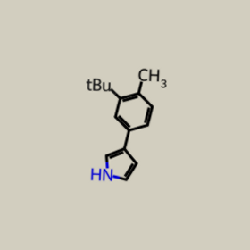 Cc1ccc(-c2cc[nH]c2)cc1C(C)(C)C